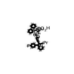 CC(C)c1c(C#CCO[PH](=O)C[C@H](CC(=O)O)O[Si](c2ccccc2)(c2ccccc2)C(C)(C)C)c(-c2ccc(F)cc2)c2ccccn12